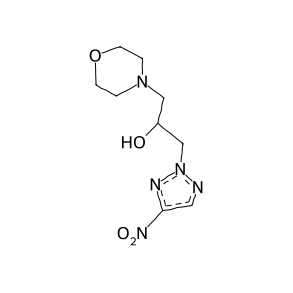 O=[N+]([O-])c1cnn(CC(O)CN2CCOCC2)n1